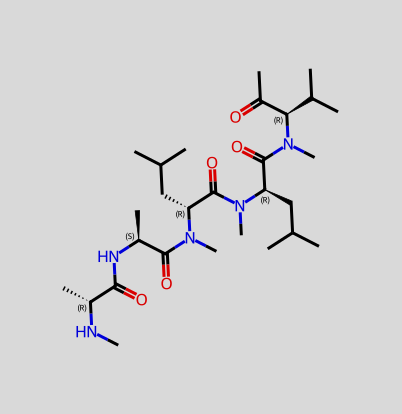 CN[C@H](C)C(=O)N[C@@H](C)C(=O)N(C)[C@H](CC(C)C)C(=O)N(C)[C@H](CC(C)C)C(=O)N(C)[C@@H](C(C)=O)C(C)C